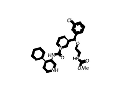 COC(=O)NCCO[C@@H](c1cccc(Cl)c1)[C@@H]1CCCN(C(=O)N[C@@H]2CNCC[C@H]2C2CCCCC2)C1